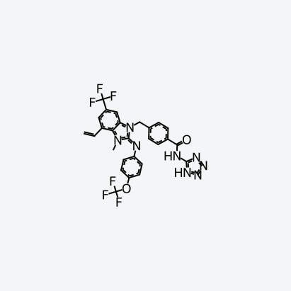 C=Cc1cc(C(F)(F)F)cc2c1n(C)/c(=N\c1ccc(OC(F)(F)F)cc1)n2Cc1ccc(C(=O)Nc2nnn[nH]2)cc1